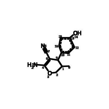 CC1COC(N)=C(C#N)C1c1ccc(O)cc1